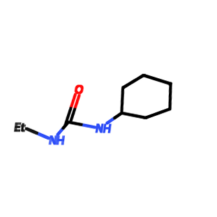 [CH2]CNC(=O)NC1CCCCC1